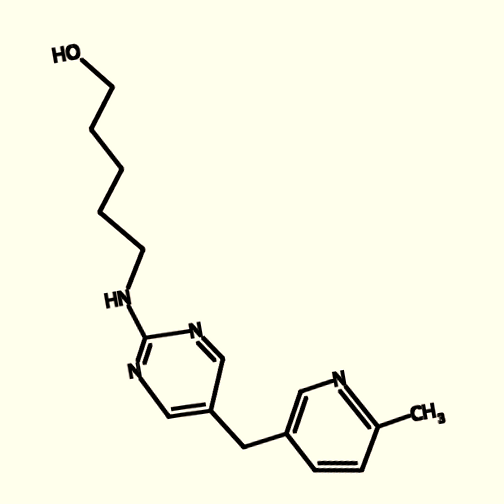 Cc1ccc(Cc2cnc(NCCCCCO)nc2)cn1